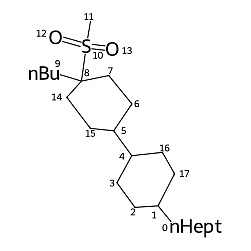 CCCCCCCC1CCC(C2CCC(CCCC)(S(C)(=O)=O)CC2)CC1